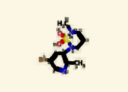 Cc1ncc(Br)cc1N1CC=CN(C)S1(=O)=O